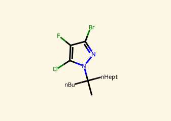 CCCCCCCC(C)(CCCC)n1nc(Br)c(F)c1Cl